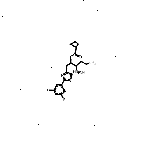 CCCC(NC)C(CC(=O)C1CCC1)Cc1csc(-c2cc(F)cc(F)c2)n1